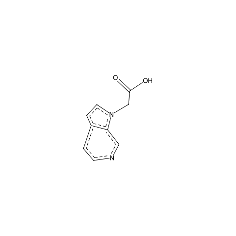 O=C(O)Cn1ccc2ccncc21